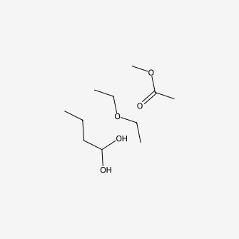 CCCC(O)O.CCOCC.COC(C)=O